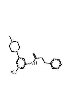 C=C(CCc1ccccc1)Nc1cc(N2CCN(C)CC2)cc(C(C)(C)C)c1